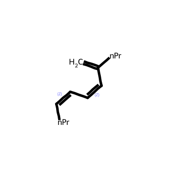 C=C(/C=C\C=C/CCC)CCC